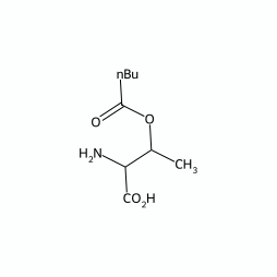 CCCCC(=O)OC(C)C(N)C(=O)O